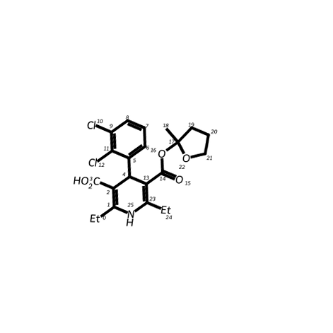 CCC1=C(C(=O)O)C(c2cccc(Cl)c2Cl)C(C(=O)OC2(C)CCCO2)=C(CC)N1